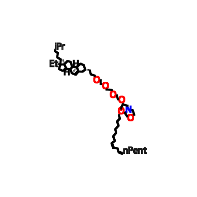 CCCCC/C=C\C/C=C\CCCCCCCCOCC(CN1CCOCC1)OCCOCCOCCOCCC[C@H]1CC[C@@]2(C)C(=CC[C@H]3C4CC[C@](CC)(CCCCC(C)C)[C@@]4(C)CC[C@@H]32)C1